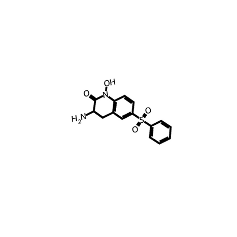 NC1Cc2cc(S(=O)(=O)c3ccccc3)ccc2N(O)C1=O